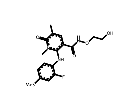 CSc1ccc(Nc2c(C(=O)NOCCO)cc(C)c(=O)n2C)c(F)c1